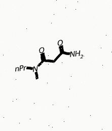 CCCN(C)C(=O)CC(N)=O